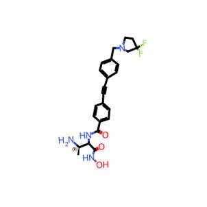 C[C@@H](N)C(NC(=O)c1ccc(C#Cc2ccc(CN3CCC(F)(F)C3)cc2)cc1)C(=O)NO